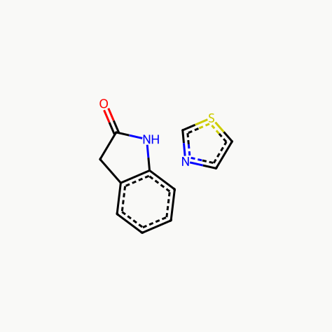 O=C1Cc2ccccc2N1.c1cscn1